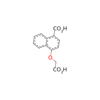 O=C(O)COc1ccc(C(=O)O)c2ccccc12